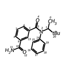 CC(N(C(=O)c1cccc(C(N)=O)c1)c1ccccc1)C(C)(C)C